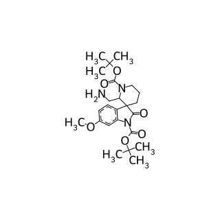 COc1ccc2c(c1)N(C(=O)OC(C)(C)C)C(=O)C21CCCN(C(=O)OC(C)(C)C)C1CN